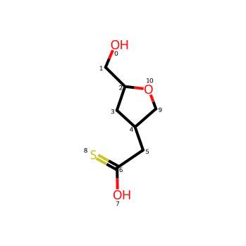 OCC1CC(CC(O)=S)CO1